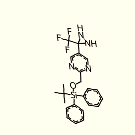 CC(C)(C)[Si](OCc1ncc(C2(C(F)(F)F)NN2)cn1)(c1ccccc1)c1ccccc1